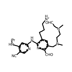 CC(C)Nc1cc(Nc2nc(C=O)c(CN(C)CCN(C)CC=O)cc2CCCN)ncc1C#N